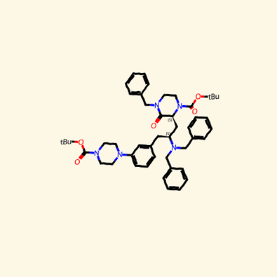 CC(C)(C)OC(=O)N1CCN(c2cccc(C[C@@H](C[C@H]3C(=O)N(Cc4ccccc4)CCN3C(=O)OC(C)(C)C)N(Cc3ccccc3)Cc3ccccc3)c2)CC1